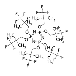 CC(C)(COP1(OCC(C)(C)C(F)(F)F)=NP(OCC(C)(C)C(F)(F)F)(OCC(C)(C)C(F)(F)F)=NP(OCC(C)(C)C(F)(F)F)(OCC(C)(C)C(F)(F)F)=N1)C(F)(F)F